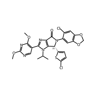 COc1ncc(-c2nc3c(n2C(C)C)[C@@H](c2ccc(Cl)s2)N(c2cc4c(cc2Cl)OCO4)C3=O)c(OC)n1